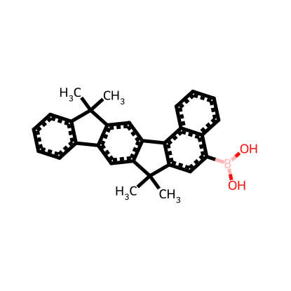 CC1(C)c2ccccc2-c2cc3c(cc21)-c1c(cc(B(O)O)c2ccccc12)C3(C)C